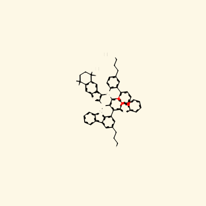 CCCCc1ccc(N2c3cc4c(sc5ccccc54)c4c3B(c3sc5cc6c(cc5c32)C(C)(C)CCC6(C)C)n2c3ccccc3c3cc(CCCC)cc-4c32)c(-c2ccccc2)c1